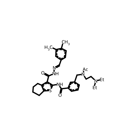 CCN(CC)CCN(Cc1cccc(C(=O)Nc2sc3c(c2C(=O)NN=Cc2ccc(C)c(C)c2)CCCC3)c1)C(C)=O